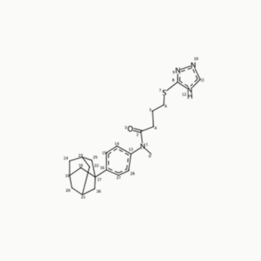 CN(C(=O)CCCSc1nnc[nH]1)c1ccc(C23CC4CC(CC(C4)C2)C3)cc1